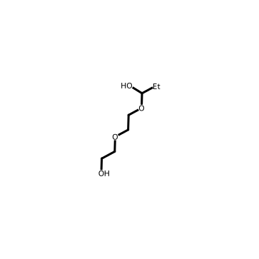 CCC(O)OCCOCCO